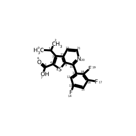 CC(C)c1c(C(=O)O)sc2c(-c3cc(F)cc(F)c3F)nccc12